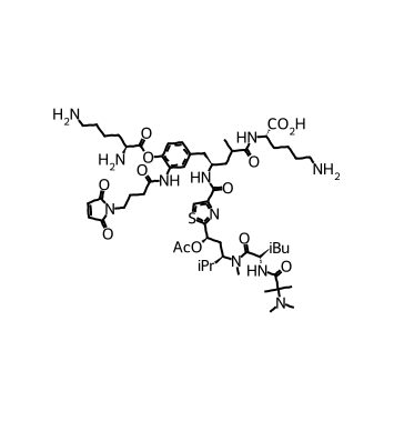 CC[C@H](C)[C@H](NC(=O)C(C)(C)N(C)C)C(=O)N(C)[C@H](C[C@@H](OC(C)=O)c1nc(C(=O)N[C@@H](Cc2ccc(OC(=O)[C@@H](N)CCCCN)c(NC(=O)CCCN3C(=O)C=CC3=O)c2)CC(C)C(=O)N[C@@H](CCCCN)C(=O)O)cs1)C(C)C